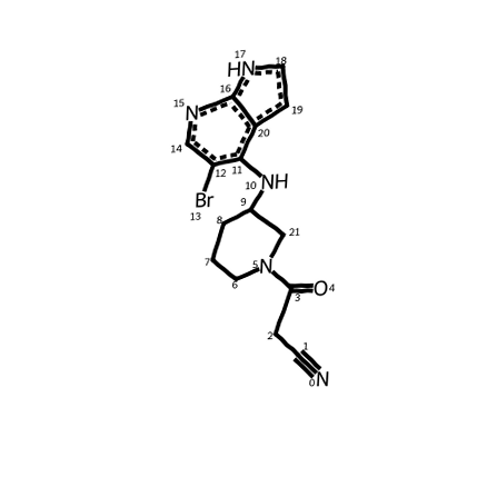 N#CCC(=O)N1CCCC(Nc2c(Br)cnc3[nH]ccc23)C1